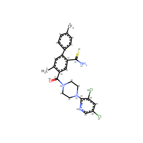 Cc1cc(-c2ccc(C(F)(F)F)cc2)c(C(N)=S)cc1C(=O)N1CCN(c2ncc(Cl)cc2Cl)CC1